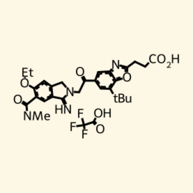 CCOc1cc2c(cc1C(=O)NC)C(=N)N(CC(=O)c1cc(C(C)(C)C)c3oc(CCC(=O)O)nc3c1)C2.O=C(O)C(F)(F)F